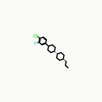 CCC[C@H]1CC[C@H](C2CCC(c3ccc(Cl)c(F)c3)CC2)CC1